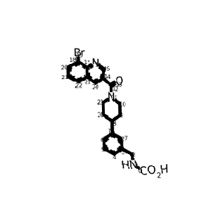 O=C(O)NCc1cccc(C2CCN(C(=O)c3cnc4c(Br)cccc4c3)CC2)c1